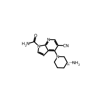 N#Cc1cnc2c([c]cn2C(N)=O)c1N1CCC[C@@H](N)C1